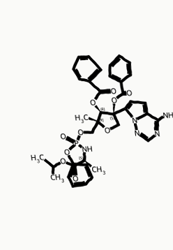 CC(C)OC(=O)[C@H](C)NP(=O)(OC[C@@]1(C)OC[C@@](OC(=O)c2ccccc2)(c2ccc3c(N)ncnn23)[C@@H]1OC(=O)c1ccccc1)Oc1ccccc1